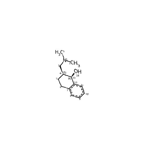 CN(C)C[C@@H]1CCc2ccccc2[C@@H]1O